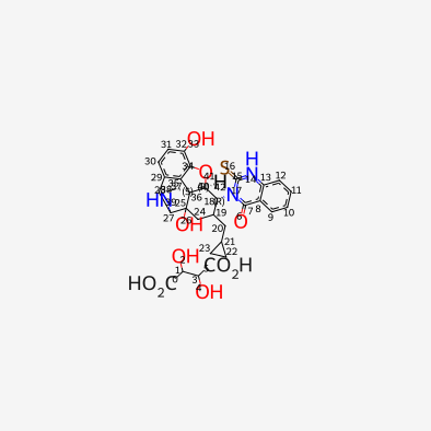 O=C(O)C(O)C(O)C(=O)O.O=c1c2ccccc2[nH]c(=S)n1[C@@H]1C(CC2CC2)CC2(O)C3Cc4ccc(O)c5c4[C@@]2(CCN3)[C@H]1O5